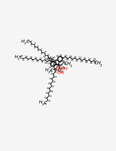 CCCCCCCCCCCCCCc1ccc(C(C)(C)CCCCCCCCCCCCCC)c(C(CCC)(OP(O)O)c2cc(CCCCCCCCCCCCCC)ccc2C(C)(C)CCCCCCCCCCCCCC)c1